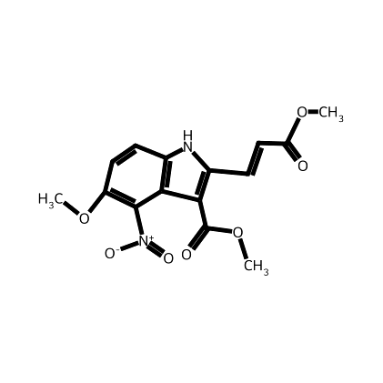 COC(=O)/C=C/c1[nH]c2ccc(OC)c([N+](=O)[O-])c2c1C(=O)OC